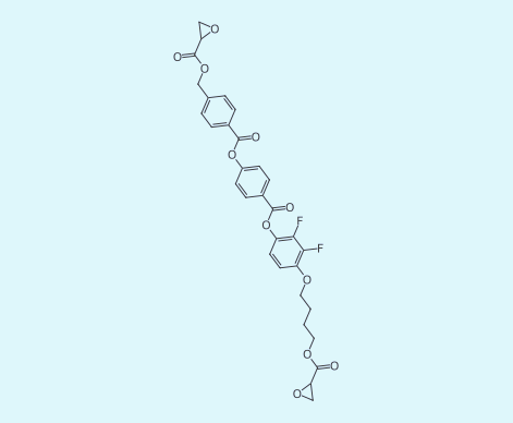 O=C(Oc1ccc(C(=O)Oc2ccc(OCCCCOC(=O)C3CO3)c(F)c2F)cc1)c1ccc(COC(=O)C2CO2)cc1